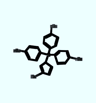 CCCCc1ccc([Si]([C]2C=CC(C(C)CC)=C2)(c2ccc(CCCC)cc2)c2ccc(CCCC)cc2)cc1